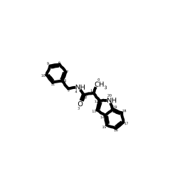 C[C](C(=O)NCc1ccccc1)c1cc2ccccc2[nH]1